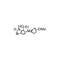 CCC(O)c1c(NCc2ccc(OC)cc2)ccc(Br)c1N